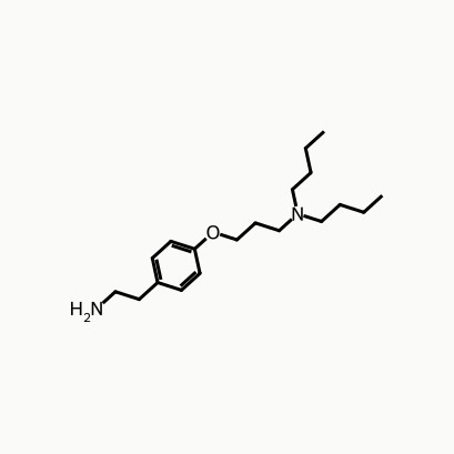 CCCCN(CCCC)CCCOc1ccc(CCN)cc1